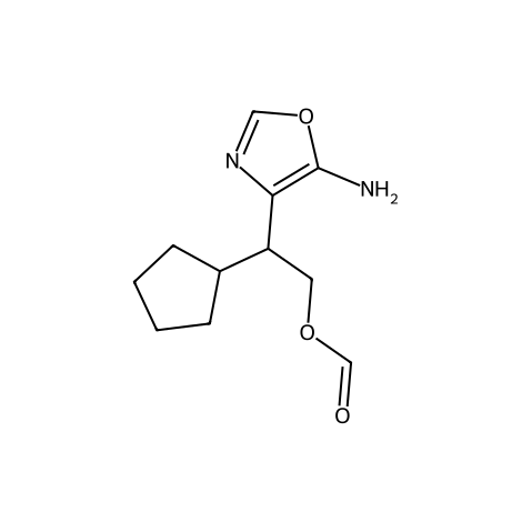 Nc1ocnc1C(COC=O)C1CCCC1